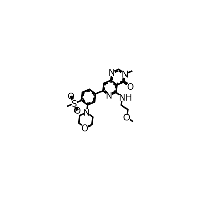 COCCNc1nc(-c2ccc(S(C)(=O)=O)c(N3CCOCC3)c2)cc2ncn(C)c(=O)c12